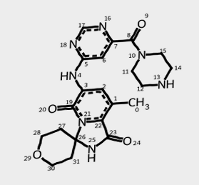 Cc1cc(Nc2cc(C(=O)N3CCNCC3)ncn2)c(=O)n2c1C(=O)NC21CCOCC1